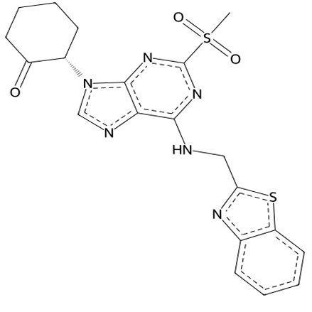 CS(=O)(=O)c1nc(NCc2nc3ccccc3s2)c2ncn([C@H]3CCCCC3=O)c2n1